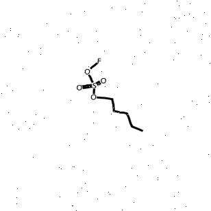 CCCCCOS(=O)(=O)OF